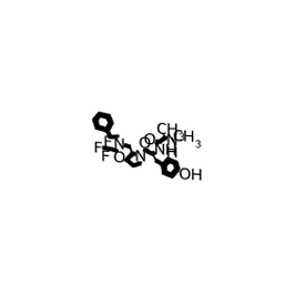 CN[C@@H](C)C(=O)N[C@@H](Cc1ccc(O)cc1)C(=O)N1CCC[C@H]1CN(CCc1ccccc1)C(=O)C(F)(F)F